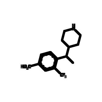 CC(c1ccc(C(=O)O)cc1C(F)(F)F)C1CCNCC1